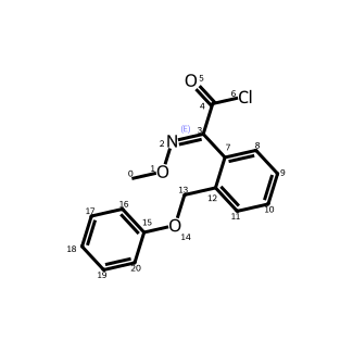 CO/N=C(/C(=O)Cl)c1ccccc1COc1ccccc1